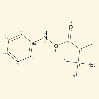 CCC(C)(C)C(C)C(=O)ONc1ccccc1